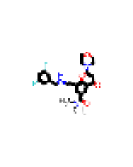 CN(C)C(=O)c1cc(CCNCc2cc(F)cc(F)c2)c2oc(N3CCOCC3)cc(=O)c2c1